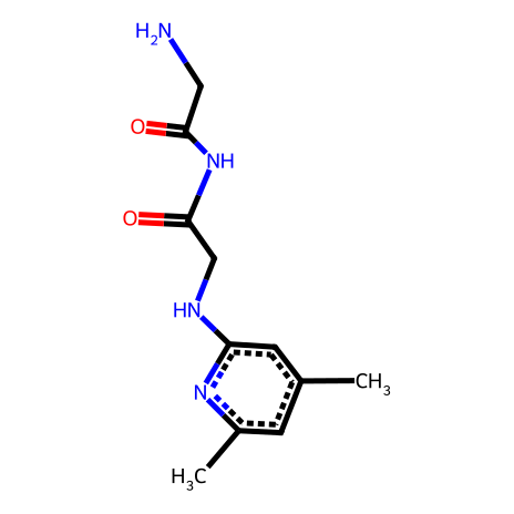 Cc1cc(C)nc(NCC(=O)NC(=O)CN)c1